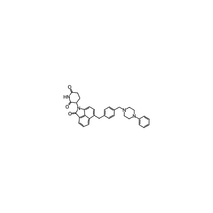 O=C1CCC(N2C(=O)c3cccc4c(Cc5ccc(CN6CCN(c7ccccc7)CC6)cc5)ccc2c34)C(=O)N1